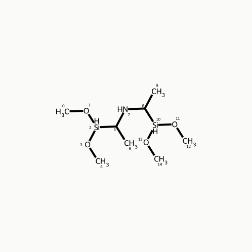 CO[SiH](OC)C(C)NC(C)[SiH](OC)OC